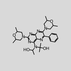 CC1CN(c2nc(N(C(C)O)C(C)(C)O)c3nc(-c4ccccc4)c(N4CC(C)OC(C)C4)nc3n2)CC(C)O1